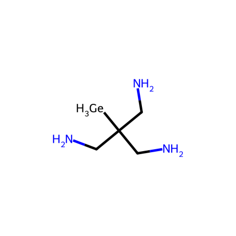 NC[C]([GeH3])(CN)CN